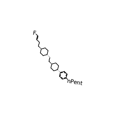 CCCCCc1ccc([C@H]2CC[C@H](CC[C@H]3CC[C@H](CC/C=C/F)CC3)CC2)cc1